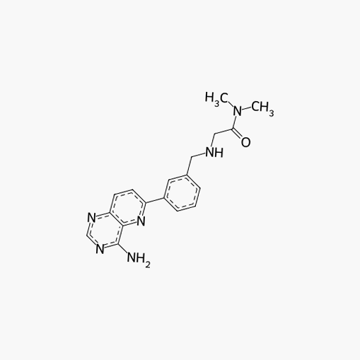 CN(C)C(=O)CNCc1cccc(-c2ccc3ncnc(N)c3n2)c1